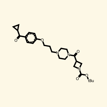 CC(C)(C)OC(=O)N1CC(C(=O)N2CCN(CCCOc3ccc(C(=O)C4CC4)cc3)CC2)C1